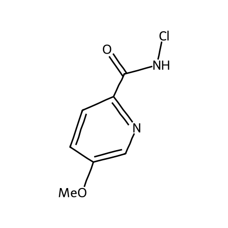 COc1ccc(C(=O)NCl)nc1